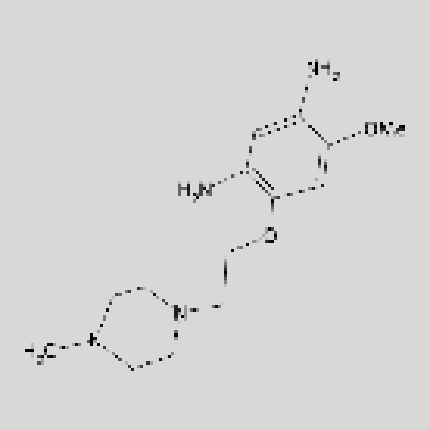 COc1cc(OCCN2CCN(C)CC2)c(N)cc1N